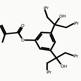 C=C(C)C(=O)Oc1cc(C(O)(CC(C)C)CC(C)C)cc(C(O)(CC(C)C)CC(C)C)c1